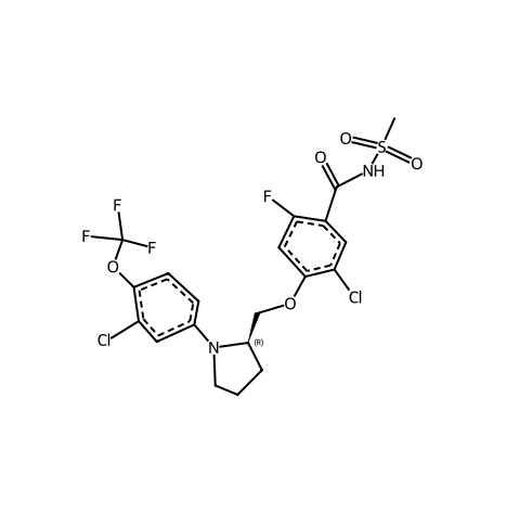 CS(=O)(=O)NC(=O)c1cc(Cl)c(OC[C@H]2CCCN2c2ccc(OC(F)(F)F)c(Cl)c2)cc1F